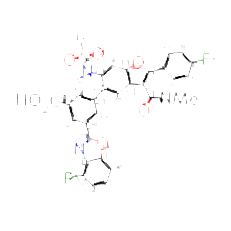 CNC(=O)c1c(-c2ccc(F)cc2)oc2cc(N(C)S(C)(=O)=O)c(-c3cc(C(=O)O)cc(-c4nc5c(F)cccc5o4)c3)cc12